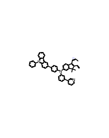 C=CC1=C(/C=C\C)c2ccc(N(c3ccc(-c4ccc5c(c4)c4ccccc4n5-c4ccccc4)cc3)c3cccc(-c4cccnc4)c3)cc2C1(C)C